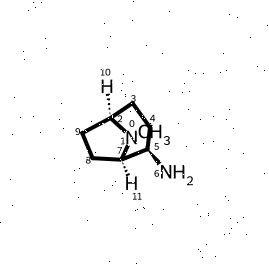 CN1[C@@H]2CC[C@@H](N)[C@H]1CC2